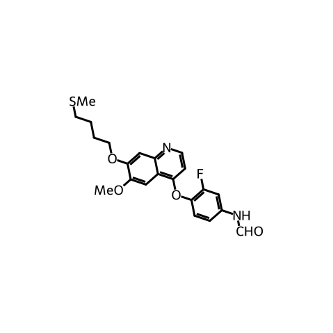 COc1cc2c(Oc3ccc(NC=O)cc3F)ccnc2cc1OCCCCSC